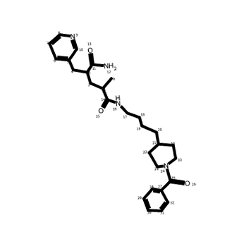 CC(CC(Cc1cccnc1)C(N)=O)C(=O)NCCCCC1CCN(C(=O)c2ccccc2)CC1